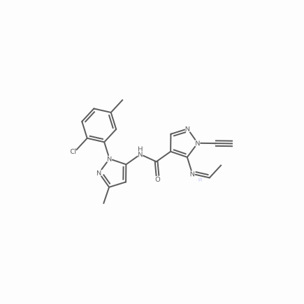 C#Cn1ncc(C(=O)Nc2cc(C)nn2-c2cc(C)ccc2Cl)c1/N=C\C